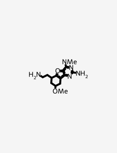 CNc1nc(N)nc2c3c(oc12)C(CCN)CC(OC)C3